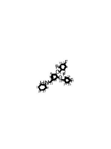 Fc1ccc(COc2ccc(CNC3CCCCC3)cc2OCc2ccc(F)cc2F)c(F)c1